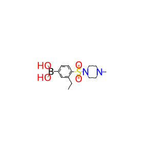 CCc1cc(B(O)O)ccc1S(=O)(=O)N1CCN(C)CC1